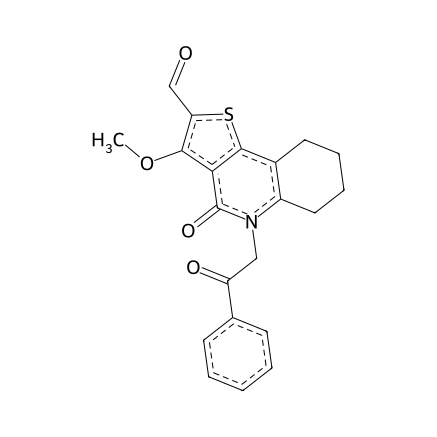 COc1c(C=O)sc2c3c(n(CC(=O)c4ccccc4)c(=O)c12)CCCC3